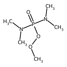 COOP(=O)(N(C)C)N(C)C